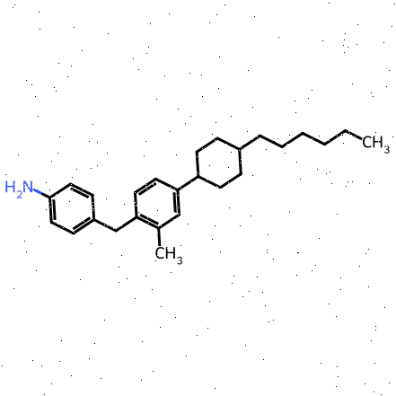 CCCCCCC1CCC(c2ccc(Cc3ccc(N)cc3)c(C)c2)CC1